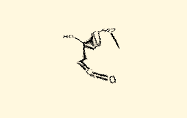 CO.O=C=CC(=O)O